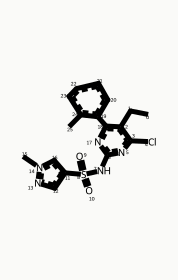 CCc1c(Cl)nc(NS(=O)(=O)c2cnn(C)c2)nc1-c1ccccc1C